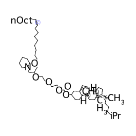 CCCCCCCC/C=C\CCCCCCCCOCC(CN1CCCCC1)OCCOCCOC(=O)OC1CCC2(C)C(=CCC3[C@@H]2CCC2(C)C([C@@H](C)CCCC(C)C)CC[C@@H]32)C1